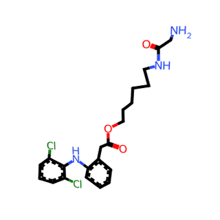 NCC(=O)NCCCCCCOC(=O)Cc1ccccc1Nc1c(Cl)cccc1Cl